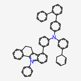 C1=CCC(c2cccc(N(c3ccc(-c4ccccc4-c4ccccc4)cc3)c3cccc(-c4cccc5c4c4c(n5-c5ccccc5)-c5ccccc5CC4)c3)c2)C=C1